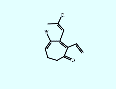 C=CC1=C(/C=C(\C)Cl)C(Br)=CCCC1=O